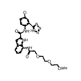 COCCOCCOCC(=O)Nc1cccc2cc(C(=O)Nc3ccc(Cl)cc3-c3nnn[nH]3)[nH]c12